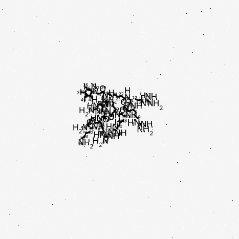 N=C(N)NCCCC(NC(=O)[C@@H](CCCNC(=N)N)NC(=O)CCCCCNC(=O)Cn1cnc2c(I)c(I)c(I)c(I)c21)C(=O)N[C@H](CCCNC(=N)N)C(=O)NC(CCCNC(=N)N)C(=O)N[C@H](CCCNC(=N)N)C(=O)NC(CCCNC(=N)N)C(=O)N[C@H](CCCCN)C(N)=O